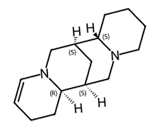 C1=CN2C[C@@H]3C[C@@H](CN4CCCC[C@@H]34)[C@H]2CC1